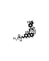 CC(=O)NCCC1CCc2c(nc3ccc(Cl)cc3c2NCCN(C(=O)O)c2ccc3[nH]ccc3c2)C1